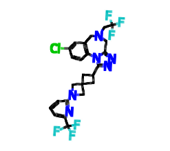 FC(F)(F)CN1Cc2cc(Cl)ccc2-n2c(nnc2C2CC3(C2)CN(c2cccc(C(F)(F)F)n2)C3)C1